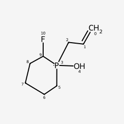 C=CC[P]1(O)CCCCC1F